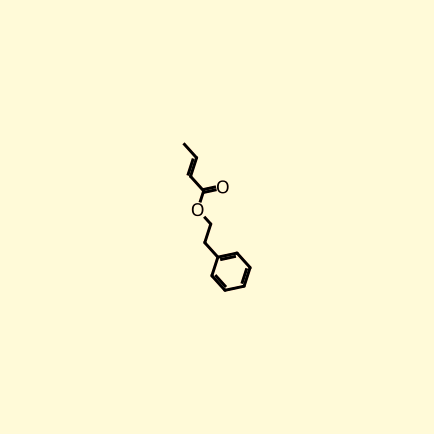 CC=CC(=O)OCCc1ccccc1